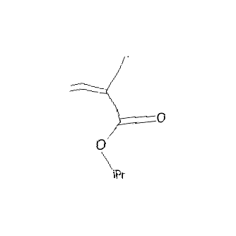 [CH2]C(=C)C(=O)OC(C)C